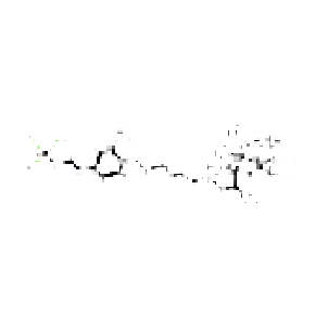 C=C(CCCCCCCCc1ccc(/C=C/CC(F)(F)F)cc1C)C(C)(CC(C)(C)C(C)C)C(C)(C)C(C)C